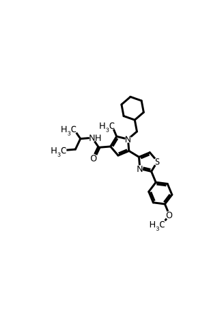 CCC(C)NC(=O)c1cc(-c2csc(-c3ccc(OC)cc3)n2)n(CC2CCCCC2)c1C